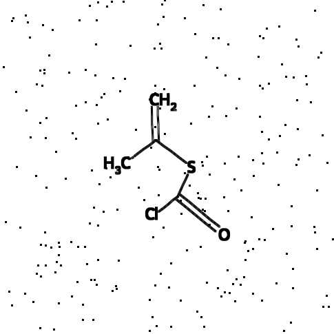 C=C(C)SC(=O)Cl